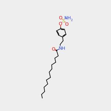 CCCCCCCCCCCCCC(=O)NCCc1ccc(OS(N)(=O)=O)cc1